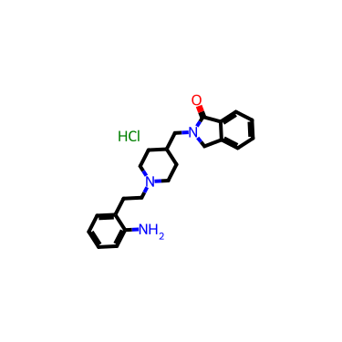 Cl.Nc1ccccc1CCN1CCC(CN2Cc3ccccc3C2=O)CC1